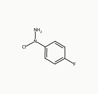 NN(Cl)c1ccc(F)cc1